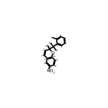 Cc1ccccc1C(C)(C)C1(C)C=Cc2cc([N+](=O)[O-])ccc2O1